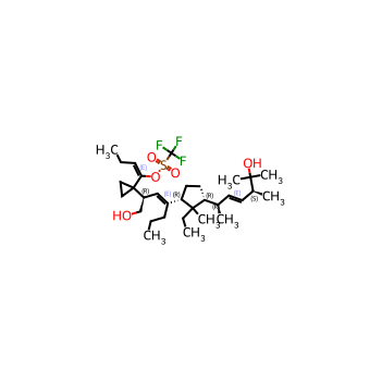 CC/C=C(/OS(=O)(=O)C(F)(F)F)C1([C@@H](/C=C(\CCC)[C@@H]2CC[C@H]([C@H](C)/C=C/[C@H](C)C(C)(C)O)C2(C)CC)CO)CC1